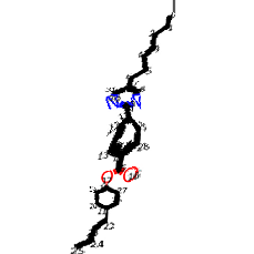 CCCCCCCc1cnc(-c2ccc(C(=O)O[C@H]3CC[C@H](CCCC)CC3)cc2)nc1